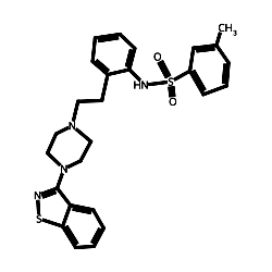 Cc1cccc(S(=O)(=O)Nc2ccccc2CCN2CCN(c3nsc4ccccc34)CC2)c1